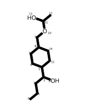 CCCC(O)C1CCC(COC(C)O)CC1